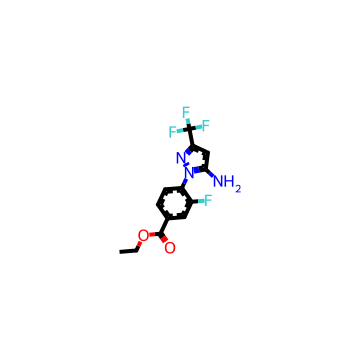 CCOC(=O)c1ccc(-n2nc(C(F)(F)F)cc2N)c(F)c1